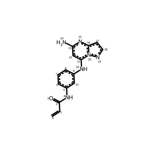 C=CC(=O)Nc1cccc(Nc2cc(N)nc3ccnn23)c1